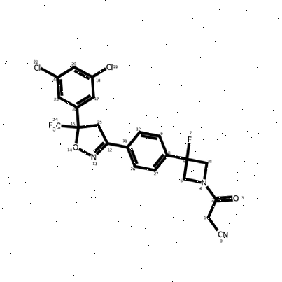 N#CCC(=O)N1CC(F)(c2ccc(C3=NOC(c4cc(Cl)cc(Cl)c4)(C(F)(F)F)C3)cc2)C1